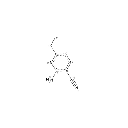 CCc1ccc(C#N)c(N)n1